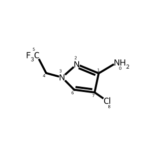 Nc1nn(CC(F)(F)F)cc1Cl